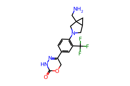 NCC12CC1CN(c1ccc(C3=NNC(=O)OC3)cc1C(F)(F)F)C2